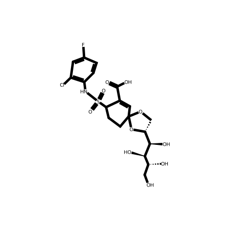 O=C(O)C1=CC2(CCC1S(=O)(=O)Nc1ccc(F)cc1Cl)OC[C@H]([C@@H](O)[C@H](O)[C@H](O)CO)O2